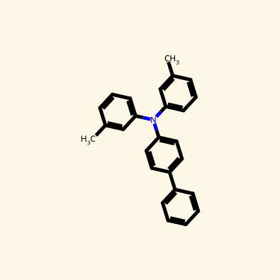 Cc1cccc(N(c2ccc(-c3ccccc3)cc2)c2cccc(C)c2)c1